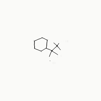 O=COC(C1CCCCC1)(C(F)(F)F)C(F)(F)S(=O)(=O)O